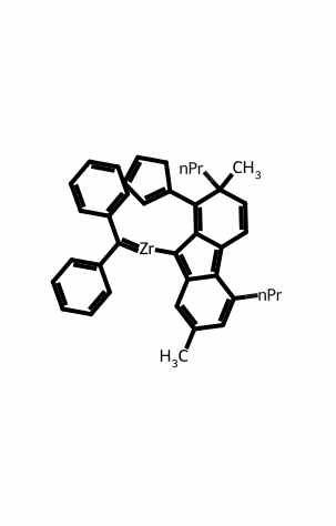 CCCc1cc(C)cc2c1=C1C=CC(C)(CCC)C(C3=CC=CC3)=C1[C]=2[Zr]=[C](c1ccccc1)c1ccccc1